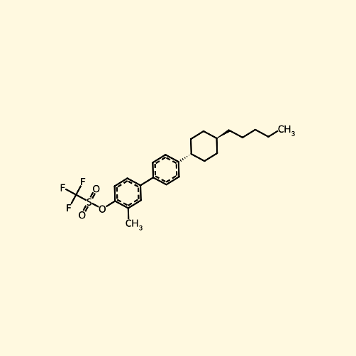 CCCCC[C@H]1CC[C@H](c2ccc(-c3ccc(OS(=O)(=O)C(F)(F)F)c(C)c3)cc2)CC1